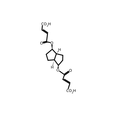 O=C(O)/C=C/C(=O)O[C@@H]1CC[C@H]2[C@@H]1CC[C@H]2OC(=O)/C=C/C(=O)O